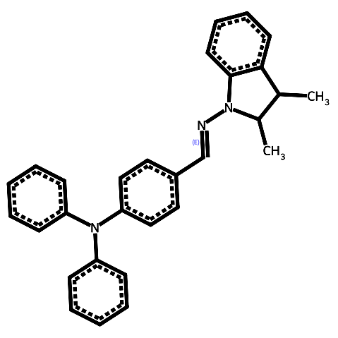 CC1c2ccccc2N(/N=C/c2ccc(N(c3ccccc3)c3ccccc3)cc2)C1C